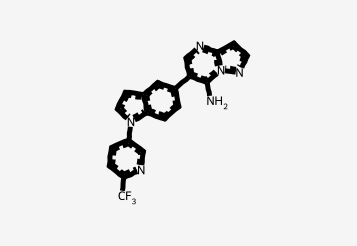 Nc1c(-c2ccc3c(ccn3-c3ccc(C(F)(F)F)nc3)c2)cnc2ccnn12